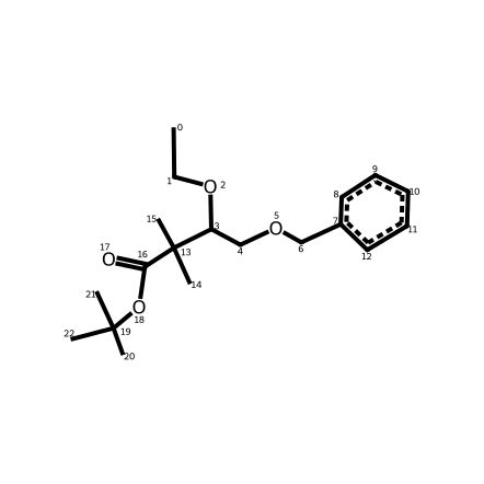 CCOC(COCc1ccccc1)C(C)(C)C(=O)OC(C)(C)C